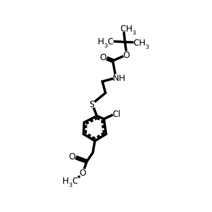 COC(=O)Cc1ccc(SCCNC(=O)OC(C)(C)C)c(Cl)c1